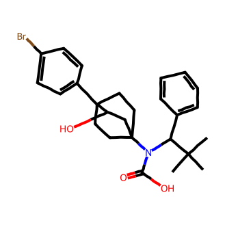 CC(C)(C)C(c1ccccc1)N(C(=O)O)C12CCC(c3ccc(Br)cc3)(CC1)C(O)C2